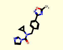 O=C(N(Cc1ccc(-c2noc(C(F)(F)F)n2)cc1)C1CC1)n1ccnc1